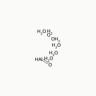 O.O.O.O.O.O.[O]=[AlH]